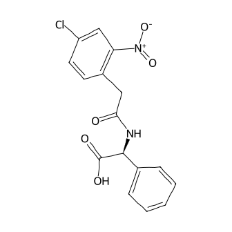 O=C(Cc1ccc(Cl)cc1[N+](=O)[O-])N[C@H](C(=O)O)c1ccccc1